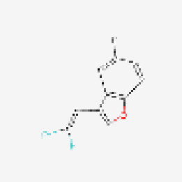 [CH2]c1ccc2occ(C=C(F)F)c2c1